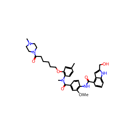 COc1cc(C(=O)N(C)c2ccc(C)cc2OCCCCCC(=O)N2CCN(C)CC2)ccc1NC(=O)c1cccc2[nH]c(CO)cc12